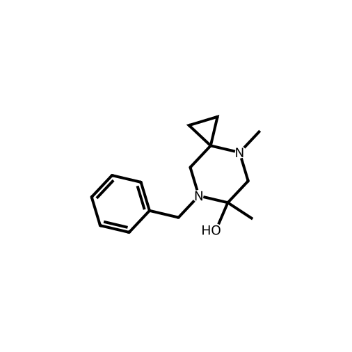 CN1CC(C)(O)N(Cc2ccccc2)CC12CC2